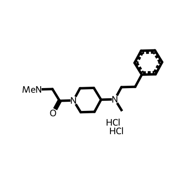 CNCC(=O)N1CCC(N(C)CCc2ccccc2)CC1.Cl.Cl